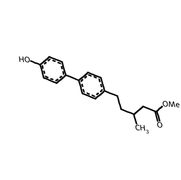 COC(=O)CC(C)CCc1ccc(-c2ccc(O)cc2)cc1